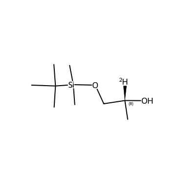 [2H][C@](C)(O)CO[Si](C)(C)C(C)(C)C